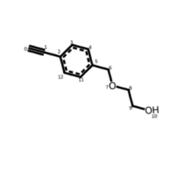 C#Cc1ccc(COCCO)cc1